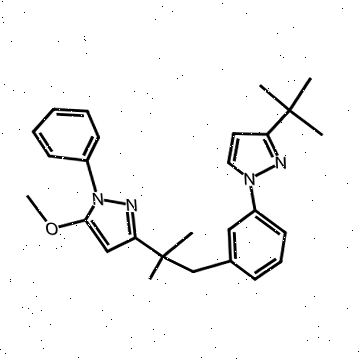 COc1cc(C(C)(C)Cc2cccc(-n3ccc(C(C)(C)C)n3)c2)nn1-c1ccccc1